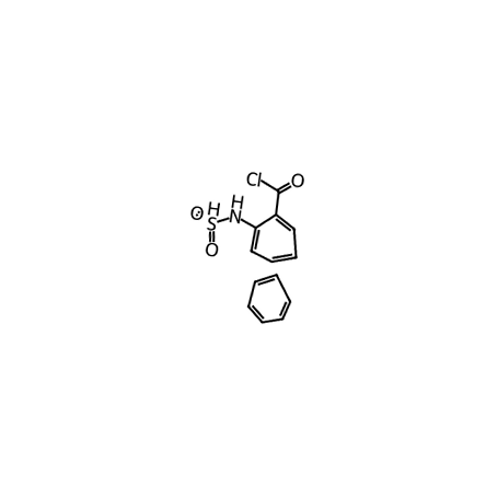 O=C(Cl)c1ccccc1N[SH](=O)=O.c1ccccc1